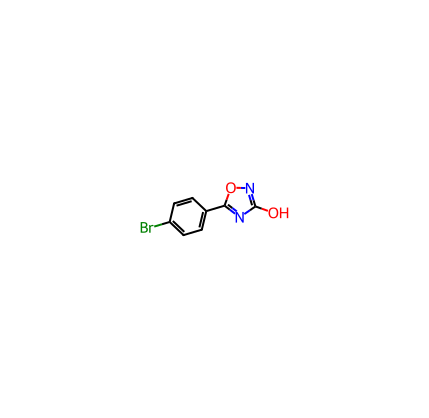 Oc1noc(-c2ccc(Br)cc2)n1